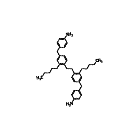 CCCCCc1cc(Cc2ccc(N)cc2)ccc1CCc1ccc(Cc2ccc(N)cc2)cc1CCCCC